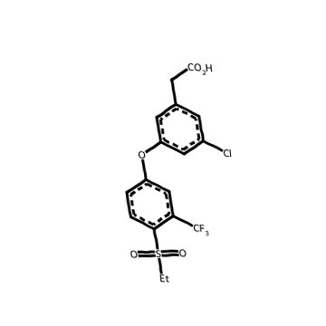 CCS(=O)(=O)c1ccc(Oc2cc(Cl)cc(CC(=O)O)c2)cc1C(F)(F)F